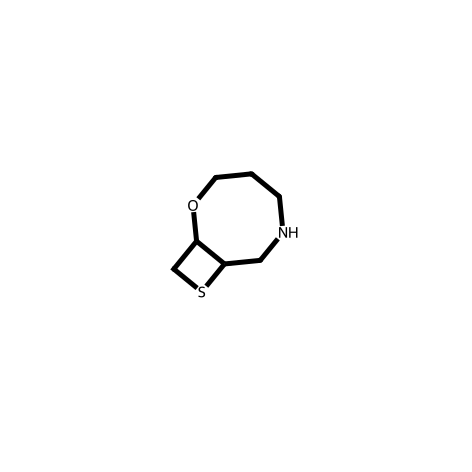 C1CNCC2SCC2OC1